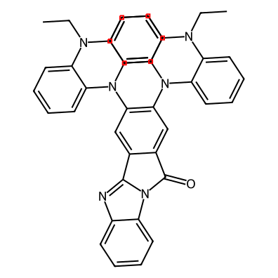 CCN1c2ccccc2N(c2cc3c(cc2N2c4ccccc4N(CC)c4ccccc42)-c2nc4ccccc4n2C3=O)c2ccccc21